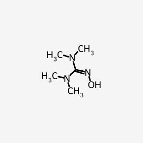 CN(C)C(=NO)N(C)C